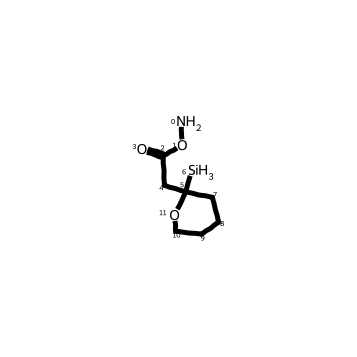 NOC(=O)CC1([SiH3])CCCCO1